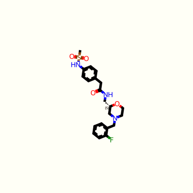 CS(=O)(=O)Nc1ccc(CC(=O)NC[C@H]2CN(Cc3ccccc3F)CCO2)cc1